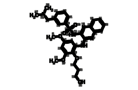 COc1cc(Nc2nc3ccccc3nc2NS(=O)(=O)c2cccc(CN(C)C)c2)c(OCCCO)c(OC)c1